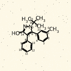 Cc1cccc(-c2c(-c3ccccc3)c(O)nn2C(C)(C)C)c1